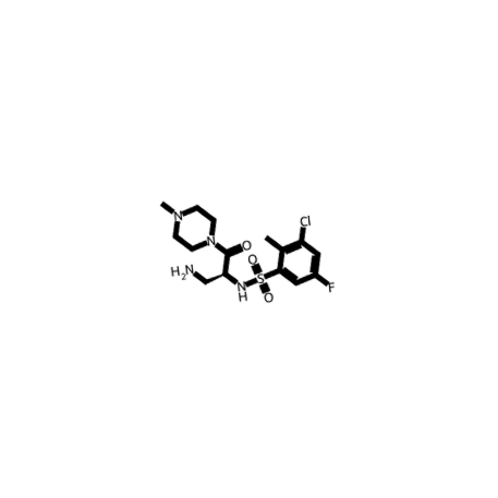 Cc1c(Cl)cc(F)cc1S(=O)(=O)N[C@@H](CN)C(=O)N1CCN(C)CC1